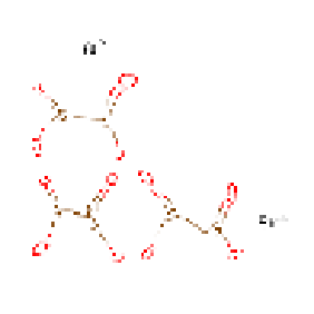 O=S([O-])S(=O)[O-].O=S([O-])S(=O)[O-].O=S([O-])S(=O)[O-].[Fe+3].[Fe+3]